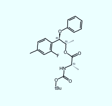 Cc1ccc([C@@H](Oc2ccccc2)[C@H](C)OC(=O)[C@H](C)NC(=O)OC(C)(C)C)c(F)c1